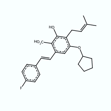 CC(C)=CCc1c(OC2CCCC2)cc(C=Cc2ccc(F)cc2)c(C(=O)O)c1O